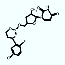 CC1CC(COP2OCCC(c3cc(Cl)ccc3F)O2)OC1n1ccc(=O)[nH]c1=O